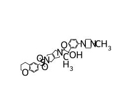 CN1CCN(c2cccc(C(C)(O)C(=O)N3CC4=C(C3)CN(S(=O)(=O)c3ccc5c(c3)CCCO5)C4)c2)CC1